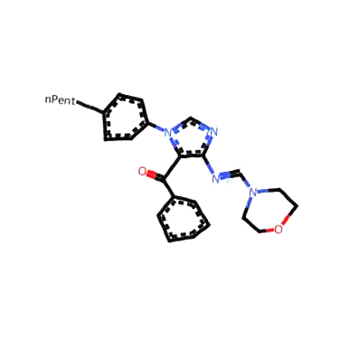 CCCCCc1ccc(-n2cnc(/N=C/N3CCOCC3)c2C(=O)c2ccccc2)cc1